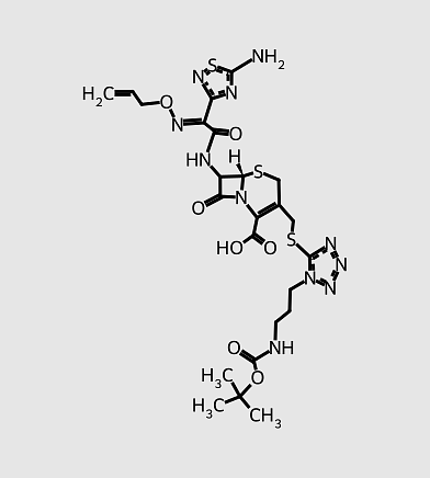 C=CCON=C(C(=O)NC1C(=O)N2C(C(=O)O)=C(CSc3nnnn3CCCNC(=O)OC(C)(C)C)CS[C@@H]12)c1nsc(N)n1